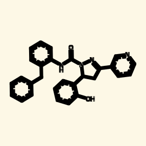 O=C(Nc1ccccc1Cc1ccccc1)N1N=C(c2cccnc2)CC1c1ccccc1O